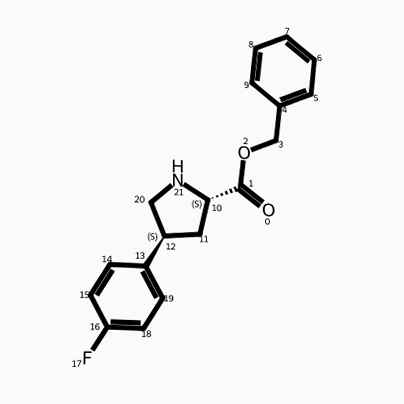 O=C(OCc1ccccc1)[C@@H]1C[C@@H](c2ccc(F)cc2)CN1